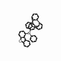 c1ccc(N(c2ccc3c(c2)-c2c4cccc2-c2cccc-3c2-c2ccccc2-4)c2cccc3oc4ccccc4c23)cc1